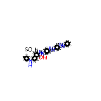 O=S(=O)(O)c1cc2cc(Nc3ccccc3)ccc2c(O)c1N=Nc1ccc(N=Nc2ccc(N=Nc3ccccc3)cc2)cc1